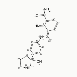 N=C1C(C(N)=O)=CC=C/C1=C(\F)Nc1ccc(C2(O)CCCNC2)cc1